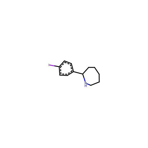 Ic1ccc(C2CCCCCN2)cc1